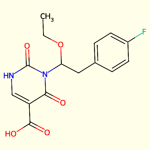 CCOC(Cc1ccc(F)cc1)n1c(=O)[nH]cc(C(=O)O)c1=O